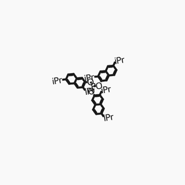 CC(C)c1ccc2cc(OP(Oc3cc4ccc(C(C)C)cc4cc3C(C)C)Oc3cc4ccc(C(C)C)cc4cc3C(C)C)c(C(C)C)cc2c1